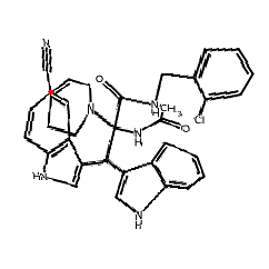 CC(=O)NC(C(=O)NCc1ccccc1Cl)(C(c1c[nH]c2ccccc12)c1c[nH]c2ccc(C#N)cc12)N1CC=CCC1